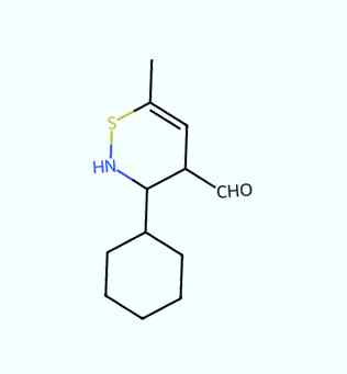 CC1=CC(C=O)C(C2CCCCC2)NS1